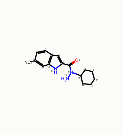 N#Cc1ccc2cc(C(=O)N(N)C3CCCCC3)[nH]c2c1